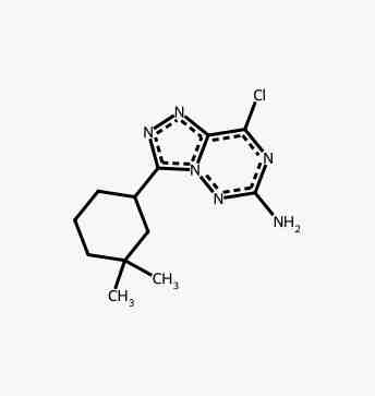 CC1(C)CCCC(c2nnc3c(Cl)nc(N)nn23)C1